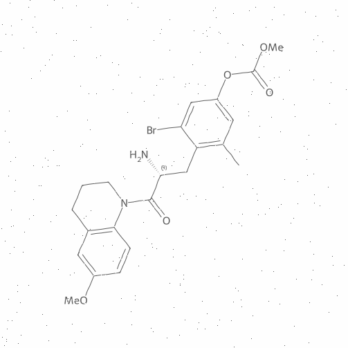 COC(=O)Oc1cc(C)c(C[C@@H](N)C(=O)N2CCCc3cc(OC)ccc32)c(Br)c1